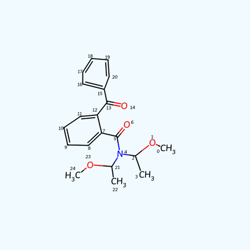 COC(C)N(C(=O)c1ccccc1C(=O)c1ccccc1)C(C)OC